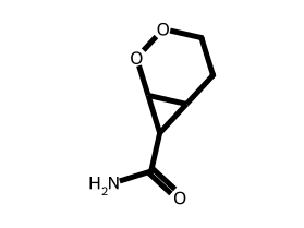 NC(=O)C1C2CCOOC21